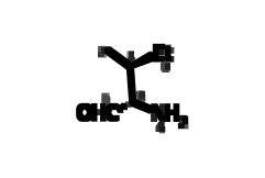 CC[C@H](C)[C@H](N)C=O